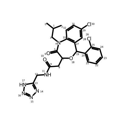 CC(C)CN1C(=O)C(CC(=O)NCc2nnn[nH]2)OC(c2ccccc2Cl)c2cc(Cl)ccc21